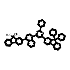 CC1(C)c2ccccc2-c2ccc(-c3ccc(-c4cc(-c5ccc6c(c5)C(c5ccccc5)(c5ccccc5)c5ccccc5-6)nc(-c5ccccc5)n4)c4ccccc34)cc21